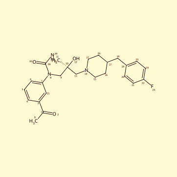 CC(=O)c1cccc(N(C[C@@](C)(O)CN2CCC(Cc3ccc(F)cc3)CC2)C(N)=O)c1